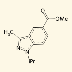 COC(=O)c1ccc2c(c1)c(C)nn2C(C)C